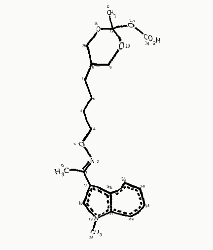 CC(=NOCCCCC1COC(C)(OC(=O)O)OC1)c1cn(C)c2ccccc12